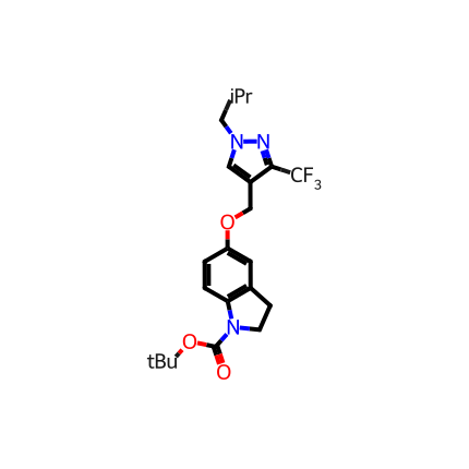 CC(C)Cn1cc(COc2ccc3c(c2)CCN3C(=O)OC(C)(C)C)c(C(F)(F)F)n1